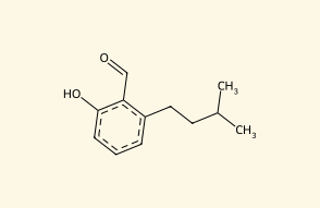 CC(C)CCc1cccc(O)c1C=O